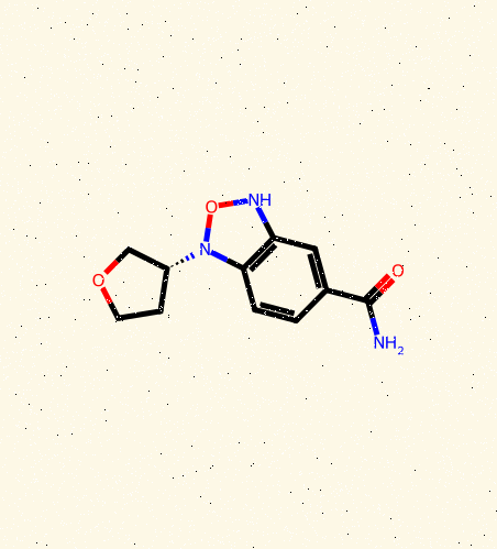 NC(=O)c1ccc2c(c1)NON2[C@@H]1CCOC1